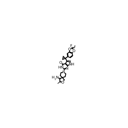 C[C@@H]1OCC2(CCN(c3nc4[nH]nc(C5(c6ccc7c(c6)OC(F)(F)O7)CC5)c4c(=O)[nH]3)CC2)[C@@H]1N